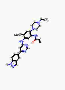 C=CC(=O)Nc1cc(Nc2cc(-c3ccc4c(cnn4C)c3)ncn2)c(OC)cc1N1CCN(CC(F)(F)F)CC1